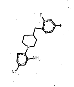 N#Cc1ccc(N2CCC(Cc3ccc(F)cc3F)CC2)c(N)c1